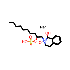 CCCCCCCCC(C[N+]1([O-])CCc2ccccc2C1O)OS(=O)(=O)O.[Na+]